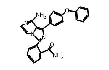 NC(=O)c1ccccc1-c1nc(-c2ccc(Oc3ccccc3)cc2)c2c(N)nccn12